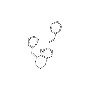 C(=C1\CCCc2ccc(/C=C/c3ccccc3)nc21)/c1ccccc1